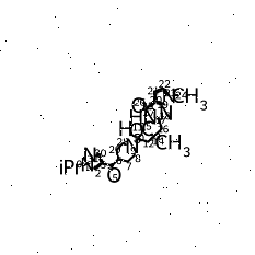 CC(C)n1cc(C(=O)C2CCN(C(=O)CC(C)(C)Cc3nc4c(ccn4C)c(=O)[nH]3)CC2)cn1